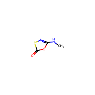 CNc1nsc(=O)o1